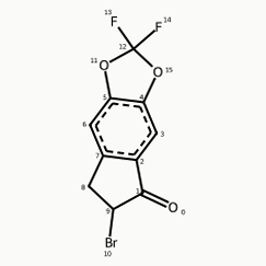 O=C1c2cc3c(cc2CC1Br)OC(F)(F)O3